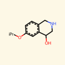 CC(C)Oc1ccc2c(c1)C(O)CNC2